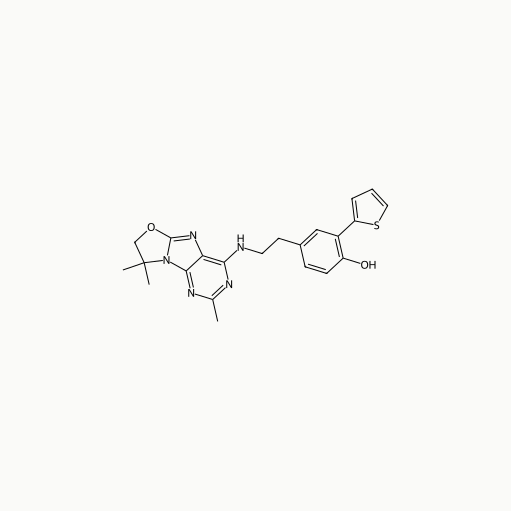 Cc1nc(NCCc2ccc(O)c(-c3cccs3)c2)c2nc3n(c2n1)C(C)(C)CO3